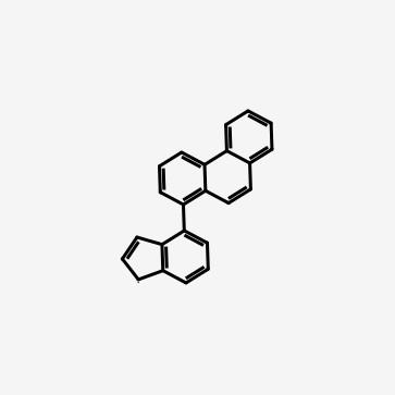 [CH]1C=Cc2c1cccc2-c1cccc2c1ccc1ccccc12